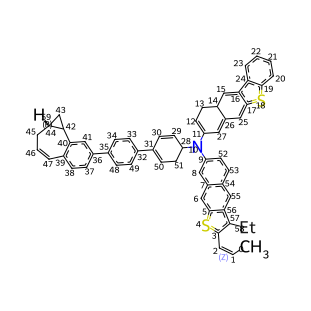 C/C=C\c1sc2cc3cc(N(C4=CCC5C=c6c(sc7ccccc67)=CC5=C4)C4C=CC(c5ccc(-c6ccc7c(c6)C6C[C@H]6CC=C7)cc5)=CC4)ccc3cc2c1CC